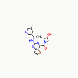 C[C@H](Nc1nc(C(=O)N2CC(O)C2)c2sccc2n1)c1cncc(F)c1